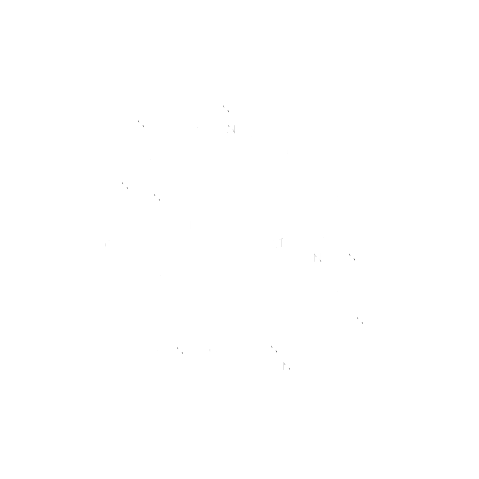 CC(=O)N1CC2(CCC(n3cc(-c4cnc5ccn6cc(-c7c(Cl)cccc7Cl)nc6c5c4)cn3)CC2)C1.Cc1c(-c2c(Cl)cccc2Cl)nc2c3cc(-c4cnn(C5CCOCC5)c4)cnc3ccn12